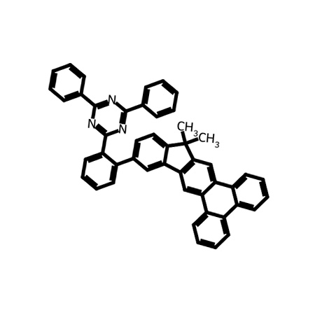 CC1(C)c2ccc(-c3ccccc3-c3nc(-c4ccccc4)nc(-c4ccccc4)n3)cc2-c2cc3c4ccccc4c4ccccc4c3cc21